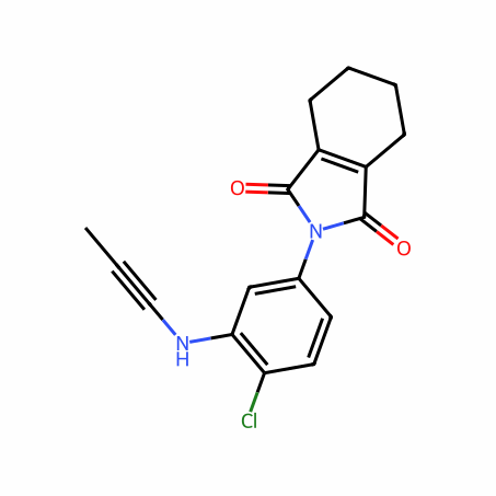 CC#CNc1cc(N2C(=O)C3=C(CCCC3)C2=O)ccc1Cl